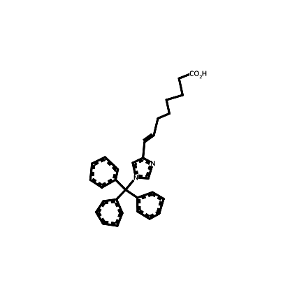 O=C(O)CCCCC/C=C/c1cn(C(c2ccccc2)(c2ccccc2)c2ccccc2)cn1